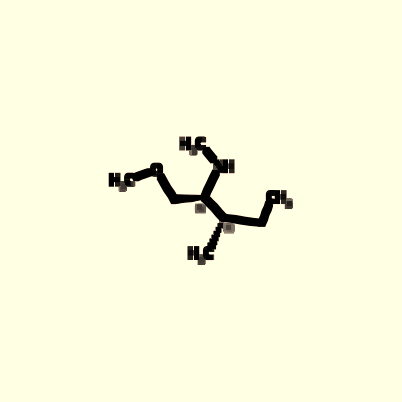 CC[C@H](C)[C@@H](COC)NC